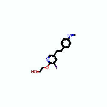 CNc1ccc(C=Cc2cnc(OCCO)c(I)c2)cc1